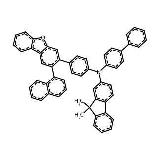 CC1(C)c2ccccc2-c2ccc(N(c3ccc(-c4ccccc4)cc3)c3ccc(-c4cc5oc6ccccc6c5cc4-c4cccc5ccccc45)cc3)cc21